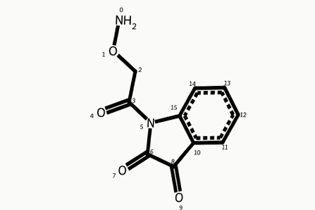 NOCC(=O)N1C(=O)C(=O)c2ccccc21